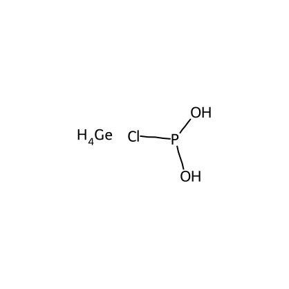 OP(O)Cl.[GeH4]